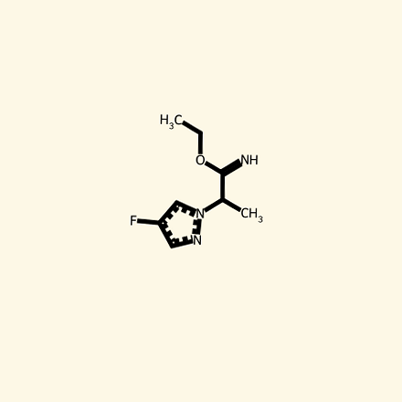 CCOC(=N)C(C)n1cc(F)cn1